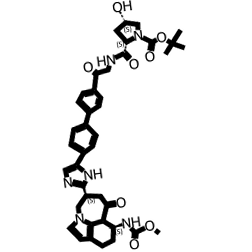 COC(=O)N[C@H]1CCc2ccn3c2C1C(=O)C[C@H](c1ncc(-c2ccc(-c4ccc(C(=O)CNC(=O)[C@@H]5C[C@H](O)CN5C(=O)OC(C)(C)C)cc4)cc2)[nH]1)C3